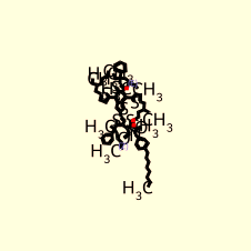 C/C=C\CCC(C)(c1ccccc1)c1sc(-c2cc3c(-c4ccc(CC(CC)CCCC)s4)c4sc(C(CC)(C/C(C)=C/C)c5ccccc5)cc4c(-c4ccc(CC(CC)CCCC)s4)c3s2)c2sc3c(c12)C(=O)N(c1ccc(CCCCCCCC)cc1)C3=O